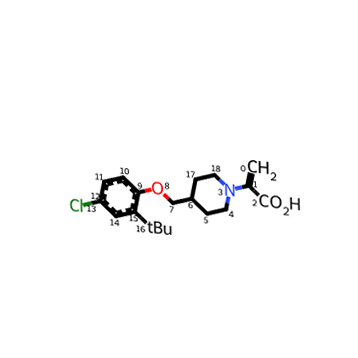 C=C(C(=O)O)N1CCC(COc2ccc(Cl)cc2C(C)(C)C)CC1